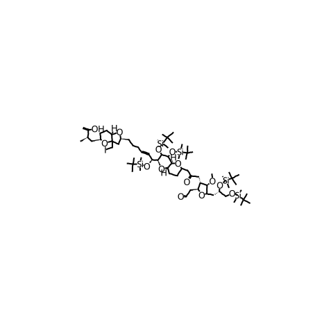 C=C(O)[C@H](C)C[C@H]1CC[C@@H]2O[C@@H](CCC/C=C/[C@H](O[Si](C)(C)C(C)(C)C)[C@@H]3O[C@H]4CCC(CC(=O)C[C@H]5[C@H](CC=O)OC(C[C@@H](CO[Si](C)(C)C(C)(C)C)O[Si](C)(C)C(C)(C)C)[C@@H]5OC)O[C@@H]4C(O[Si](C)(C)C(C)(C)C)C3O[Si](C)(C)C(C)(C)C)CC2(CI)O1